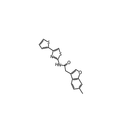 Cc1ccc2c(CC(=O)Nc3nc(-c4cccs4)cs3)coc2c1